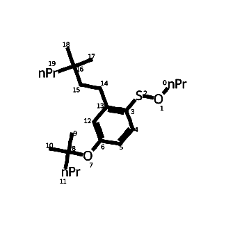 CCCOSc1ccc(OC(C)(C)CCC)cc1CCC(C)(C)CCC